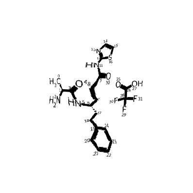 C[C@H](N)C(=O)N[C@H](/C=C/C(=O)Nc1nccs1)CCc1ccccc1.O=C(O)C(F)(F)F